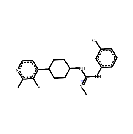 C/N=C(\Nc1cccc(Cl)c1)NC1CCC(c2ccnc(C)c2F)CC1